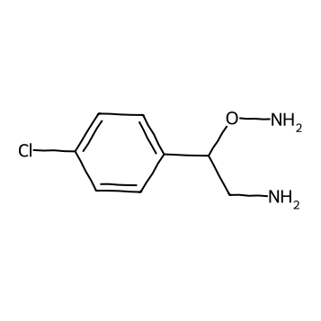 NCC(ON)c1ccc(Cl)cc1